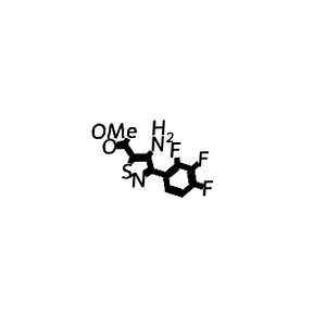 COC(=O)c1snc(-c2ccc(F)c(F)c2F)c1N